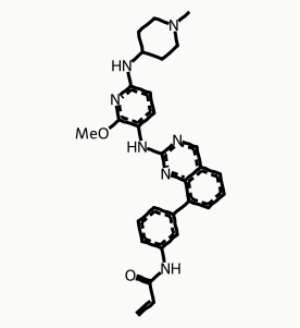 C=CC(=O)Nc1cccc(-c2cccc3cnc(Nc4ccc(NC5CCN(C)CC5)nc4OC)nc23)c1